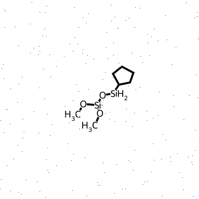 CO[Si](OC)O[SiH2]C1CCCC1